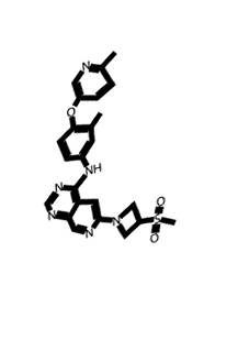 Cc1ccc(Oc2ccc(Nc3ncnc4cnc(N5CC(S(C)(=O)=O)C5)cc34)cc2C)cn1